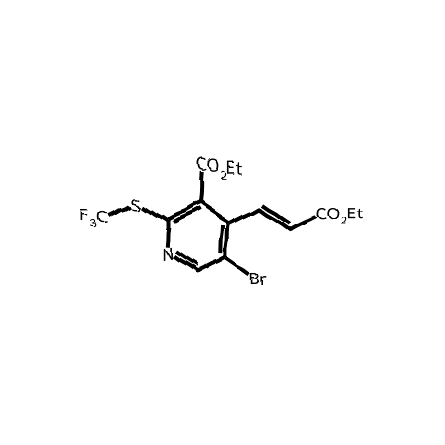 CCOC(=O)/C=C/c1c(Br)cnc(SC(F)(F)F)c1C(=O)OCC